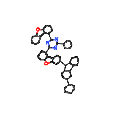 c1ccc(-c2ccc3c(c2)-c2ccccc2C3c2ccc3c(c2)oc2cccc(-c4nc(-c5ccccc5)nc(-c5cccc6oc7ccccc7c56)n4)c23)cc1